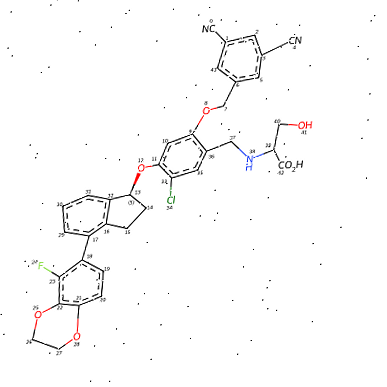 N#Cc1cc(C#N)cc(COc2cc(O[C@H]3CCc4c(-c5ccc6c(c5F)OCCO6)cccc43)c(Cl)cc2CNC(CO)C(=O)O)c1